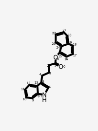 O=C(CCCc1c[nH]c2ccccc12)Oc1cccc2ccccc12